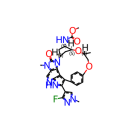 COC(=O)N[C@H]1C[C@H]2C[C@@H]1O[C@H](C)COc1ccc(cc1)-c1c(-c3cn(C)nc3F)[nH]c3ncc4c(c13)n2c(=O)n4C